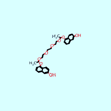 CC(OCCOCCOCCOC(C)Oc1cccc2cc(O)ccc12)Oc1cccc2cc(O)ccc12